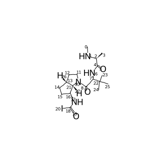 CN[C@@H](C)C(=O)N[C@H](C(=O)N1CC[C@H]2CC[C@H](NC(=O)I)[C@H]21)C(C)(C)C